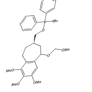 COCOC1C[C@H](CO[Si](c2ccccc2)(c2ccccc2)C(C)(C)C)CCc2c1cc(OC)c(OC)c2OC